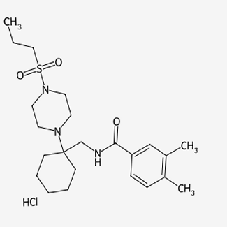 CCCS(=O)(=O)N1CCN(C2(CNC(=O)c3ccc(C)c(C)c3)CCCCC2)CC1.Cl